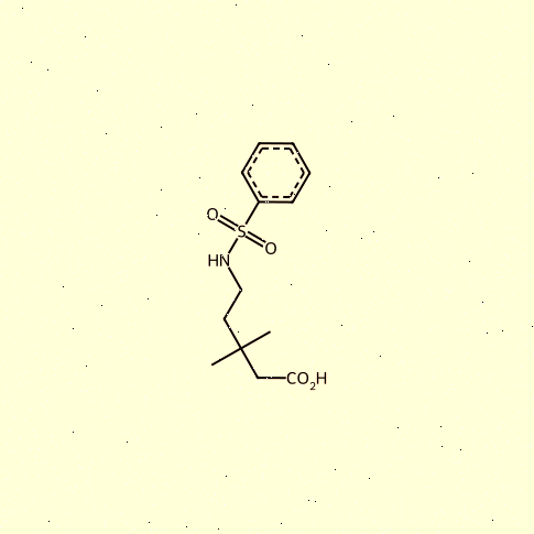 CC(C)(CCNS(=O)(=O)c1ccccc1)CC(=O)O